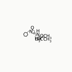 CC(C)(C)OC(=O)NC(CO)[C@H]1CC(=O)N(Cc2ccccc2)C1